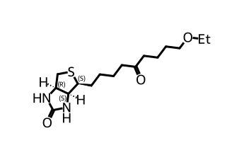 CCOCCCCC(=O)CCCC[C@@H]1SC[C@@H]2NC(=O)N[C@@H]21